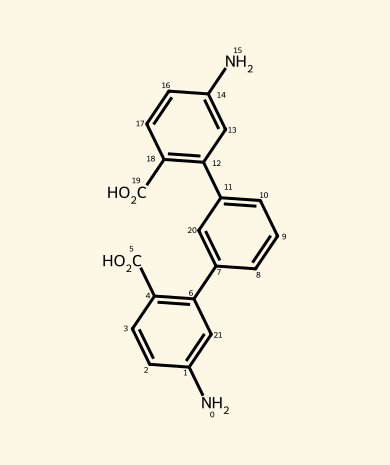 Nc1ccc(C(=O)O)c(-c2cccc(-c3cc(N)ccc3C(=O)O)c2)c1